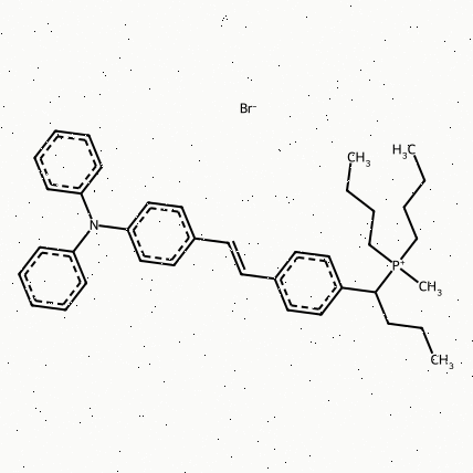 CCCC[P+](C)(CCCC)C(CCC)c1ccc(C=Cc2ccc(N(c3ccccc3)c3ccccc3)cc2)cc1.[Br-]